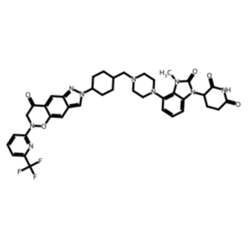 Cn1c(=O)n(C2CCC(=O)NC2=O)c2cccc(N3CCN(CC4CCC(n5cc6cc7c(cc6n5)C(=O)CN(c5cccc(C(F)(F)F)n5)O7)CC4)CC3)c21